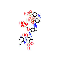 C/C=C\c1c(CCI)nc2c(C(=O)O)c(C)c(N=Nc3cc(C)c(N=Nc4ccc(/N=N\c5ccc(S(=O)(=O)O)cc5)cc4S(=O)(=O)O)cc3OCCS(=O)(=O)O)c(O)n12